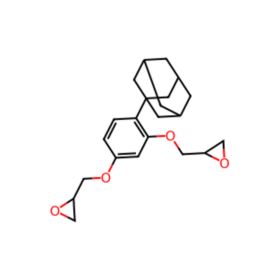 c1cc(C23CC4CC(CC(C4)C2)C3)c(OCC2CO2)cc1OCC1CO1